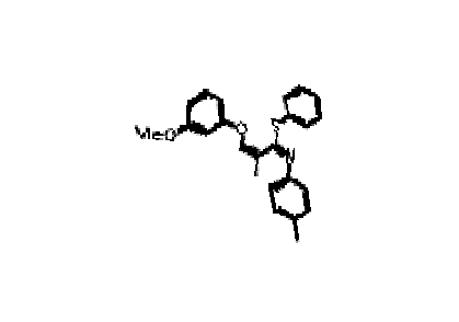 COc1cccc(OC=C(C)C(=Nc2ccc(C)cc2)Sc2ccccc2)c1